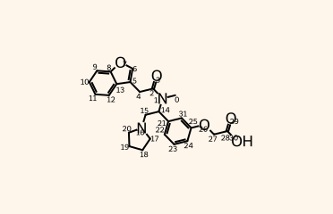 CN(C(=O)Cc1coc2ccccc12)C(CN1CCCC1)c1cccc(OCC(=O)O)c1